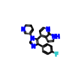 Fc1ccc(-c2ncn(-c3cccnc3)c2-c2ccnc3[nH]ccc23)cc1